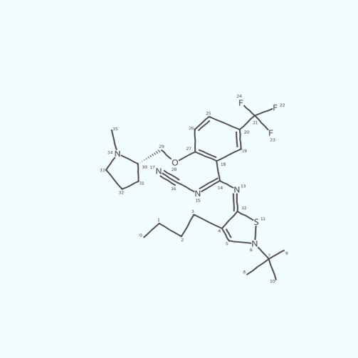 CCCCc1cn(C(C)(C)C)sc1=NC(=NC#N)c1cc(C(F)(F)F)ccc1OC[C@@H]1CCCN1C